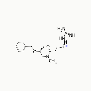 CN(CC(=O)OCc1ccccc1)C(=O)CC/C=N\NC(=N)N